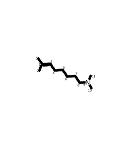 CC(C)=CCCCCCN(C)C